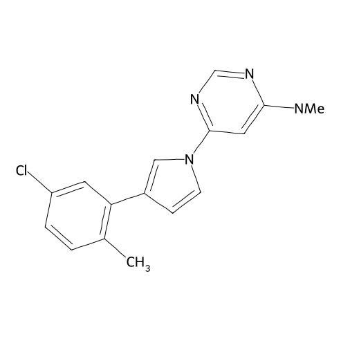 CNc1cc(-n2ccc(-c3cc(Cl)ccc3C)c2)ncn1